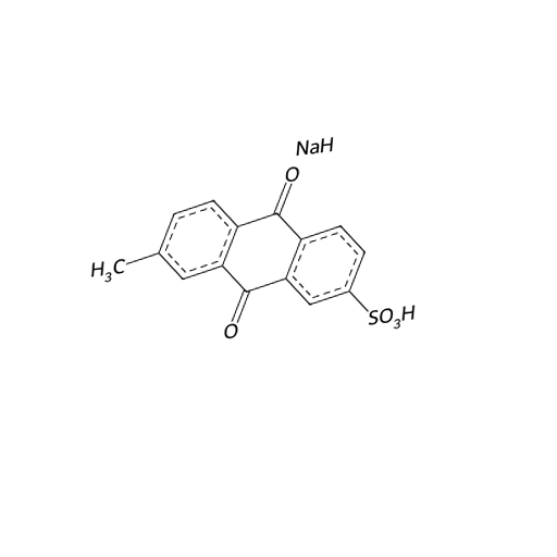 Cc1ccc2c(c1)C(=O)c1cc(S(=O)(=O)O)ccc1C2=O.[NaH]